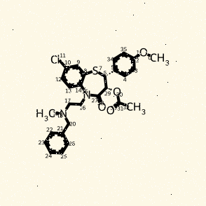 COc1ccc([C@H]2Sc3cc(Cl)ccc3N(CCN(C)Cc3ccccc3)C(=O)[C@H]2OC(C)=O)cc1